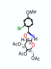 COc1ccc(C2=N[C@H]3O[C@H](COC(C)=O)[C@@H](OC(C)=O)[C@H](OC(C)=O)[C@H]3O2)c(Br)c1